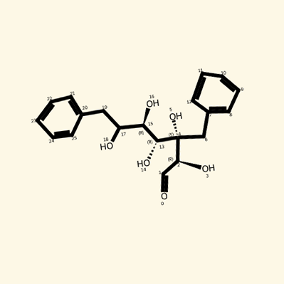 O=C[C@H](O)[C@](O)(Cc1ccccc1)[C@H](O)[C@H](O)C(O)Cc1ccccc1